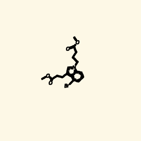 COC(=O)CCCn1cc(CCC(=O)OC)c2c(Br)cccc21